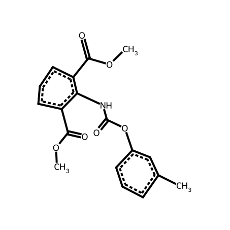 COC(=O)c1cccc(C(=O)OC)c1NC(=O)Oc1cccc(C)c1